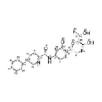 O=C(Nc1ccn([C@@H](CF)O[C@H](CO)[C@@H](O)F)c(=O)n1)c1ccc(-c2ccccc2)cn1